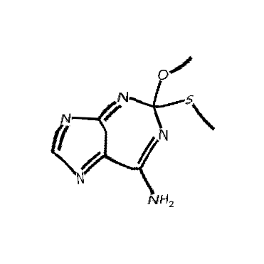 COC1(SC)N=C(N)C2=NC=NC2=N1